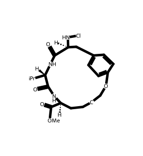 COC(=O)[C@@H]1CCCCOc2ccc(cc2)C[C@H](NCl)C(=O)N[C@@H](C(C)C)C(=O)N1